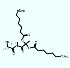 CCCCCCCCCCCCCCCC(=O)OC(C)(OC(=O)CCCCCCCCCCCCCCC)C(=O)NC(=O)[C@H](C)N